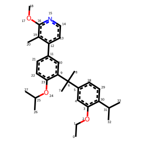 CCOc1cc(C(C)(C)c2cc(-c3ccnc(OC)c3C)ccc2OC(C)C)ccc1C(C)C